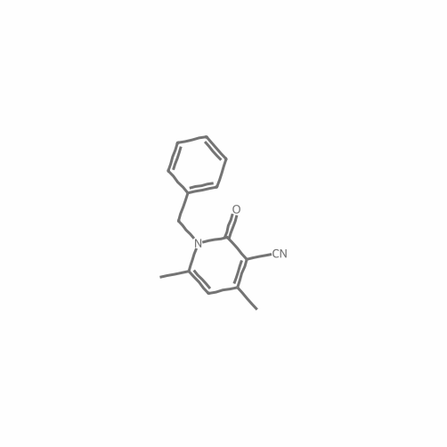 Cc1cc(C)n(Cc2ccccc2)c(=O)c1C#N